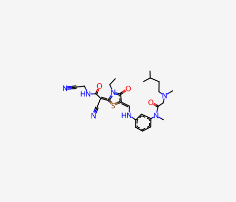 CCn1c(=C(C#N)C(=O)NCC#N)sc(=CNc2cccc(N(C)C(=O)CN(C)CCC(C)C)c2)c1=O